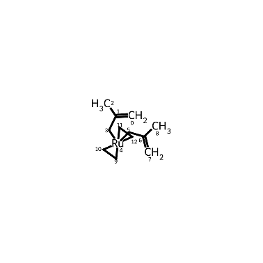 C=C(C)[CH2][Ru]12([CH2]C(=C)C)([CH2][CH2]1)[CH2][CH2]2